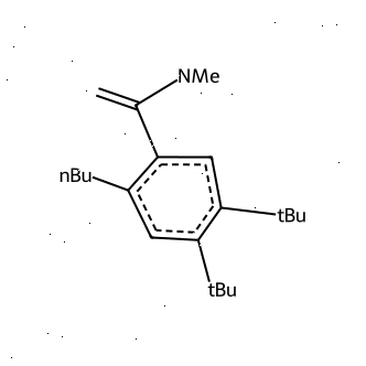 C=C(NC)c1cc(C(C)(C)C)c(C(C)(C)C)cc1CCCC